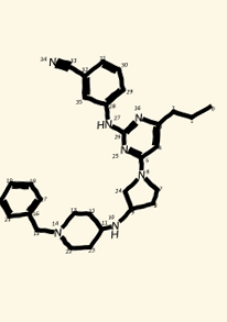 CCCc1cc(N2CCC(NC3CCN(Cc4ccccc4)CC3)C2)nc(Nc2cccc(C#N)c2)n1